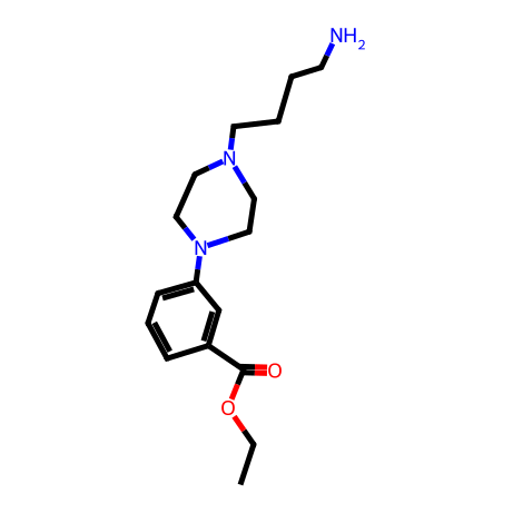 CCOC(=O)c1cccc(N2CCN(CCCCN)CC2)c1